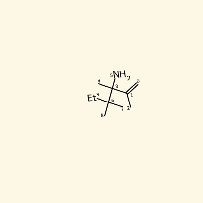 C=C(C)C(C)(N)C(C)(C)CC